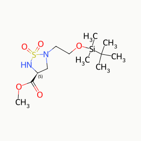 COC(=O)[C@@H]1CN(CCO[Si](C)(C)C(C)(C)C)S(=O)(=O)N1